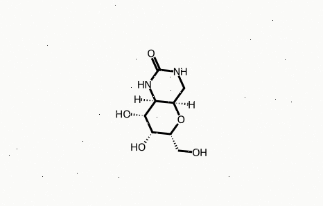 O=C1NC[C@H]2O[C@H](CO)[C@H](O)[C@H](O)[C@H]2N1